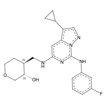 O[C@@H]1COCC[C@H]1CNc1cc2c(C3CC3)cnn2c(Nc2cccc(F)c2)n1